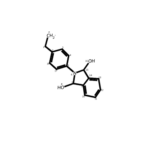 [CH2]Cc1ccc(N2C(O)c3ccccc3C2O)cc1